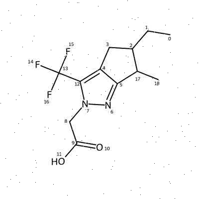 CCC1Cc2c(nn(CC(=O)O)c2C(F)(F)F)C1C